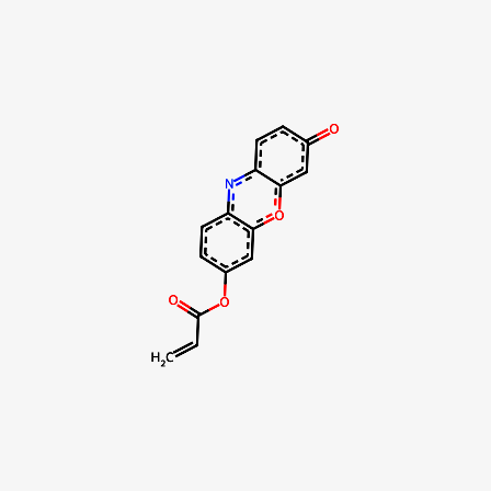 C=CC(=O)Oc1ccc2nc3ccc(=O)cc-3oc2c1